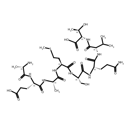 CSCC[C@H](NC(=O)[C@H](C)NC(=O)[C@H](CCC(=O)O)NC(=O)[C@H](C)N)C(=O)N[C@@H](CO)C(=O)N[C@@H](CCC(N)=O)C(=O)N[C@H](C(=O)N[C@H](C(=O)O)[C@@H](C)O)C(C)C